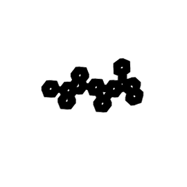 c1ccc(-c2cc3c4ccccc4c(-c4ccc5c(c4)c4ccccc4c4cc6c7c8ccccc8ccc7n(-c7ccccc7)c6cc54)cc3c3ccccc23)cc1